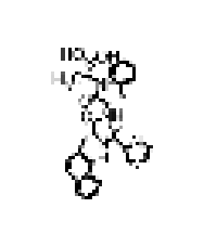 C[C@H](NC(=O)[C@H](Cc1ccccc1)NC(=O)[C@H](Cc1ccc2ccccc2c1)NC(=O)c1cnccn1)B(O)O